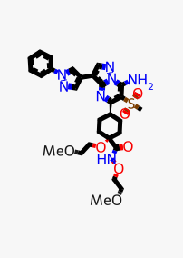 COCCONC(=O)[C@]1(OCCOC)CC[C@@H](c2nc3c(-c4cnn(-c5ccccc5)c4)cnn3c(N)c2S(C)(=O)=O)CC1